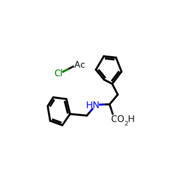 CC(=O)Cl.O=C(O)C(Cc1ccccc1)NCc1ccccc1